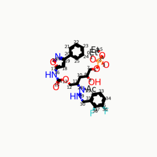 CCOP(=O)(OCC)OCC(O)CC(COC(=O)Nc1cc(-c2ccccc2)no1)N(NCc1cccc(F)c1F)C(C)=O